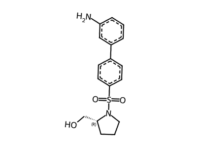 Nc1cccc(-c2ccc(S(=O)(=O)N3CCC[C@@H]3CO)cc2)c1